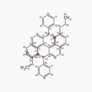 C=CC(=O)Oc1cccc(P(c2ccccc2)c2ccccc2)c1-c1c(OCCCC)cccc1P(c1ccccc1)c1ccccc1